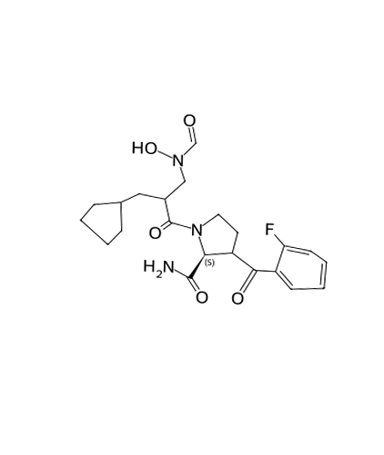 NC(=O)[C@@H]1C(C(=O)c2ccccc2F)CCN1C(=O)C(CC1CCCC1)CN(O)C=O